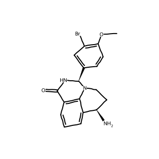 COc1ccc([C@@H]2NC(=O)c3cccc4c3N2CC[C@H]4N)cc1Br